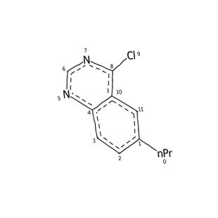 CCCc1ccc2ncnc(Cl)c2c1